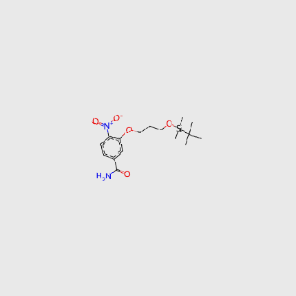 CC(C)(C)[Si](C)(C)OCCCOc1cc(C(N)=O)ccc1[N+](=O)[O-]